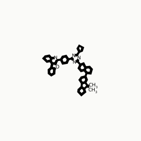 CC1(C)c2ccccc2-c2ccc(-c3cccc4cc(-c5nc(C6=CCC=C6)nc(-c6ccc(-c7nc8ccccc8c8c7oc7ccccc78)cc6)n5)ccc34)cc21